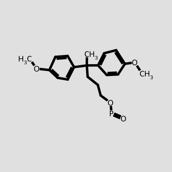 COc1ccc(C(C)(CCCOP=O)c2ccc(OC)cc2)cc1